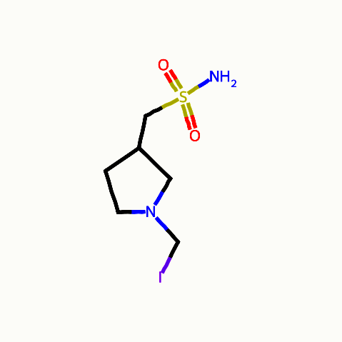 NS(=O)(=O)CC1CCN(CI)C1